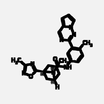 Cc1noc([C@]23C[C@@H](C)C[C@H](C2)N3C(=O)Nc2ccc(C)c(-c3ncc4cccn4n3)c2)n1